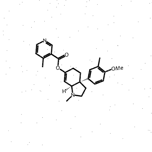 COc1ccc([C@@]23CCC(OC(=O)c4cnccc4C)=C[C@@H]2N(C)CC3)cc1C